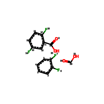 Fc1ccccc1F.O=C(O)c1cc(F)ccc1F.O=CO